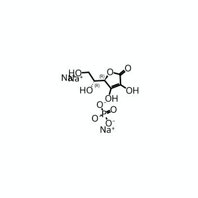 O=C1O[C@H]([C@H](O)CO)C(O)=C1O.O=P([O-])([O-])[O-].[Na+].[Na+].[Na+]